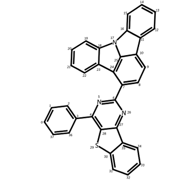 c1ccc(-c2nc(-c3ccc4c5ccccc5n5c6ccccc6c3c45)nc3c2sc2ccccc23)cc1